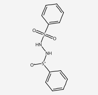 O=S(=O)(NN[S+]([O-])c1ccccc1)c1ccccc1